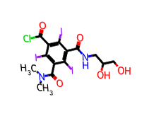 CN(C)C(=O)c1c(I)c(C(=O)Cl)c(I)c(C(=O)NCC(O)CO)c1I